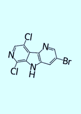 Clc1ncc(Cl)c2c1[nH]c1cc(Br)cnc12